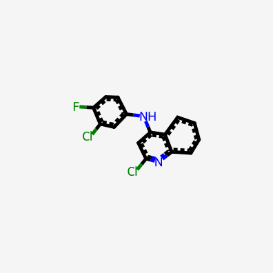 Fc1ccc(Nc2cc(Cl)nc3ccccc23)cc1Cl